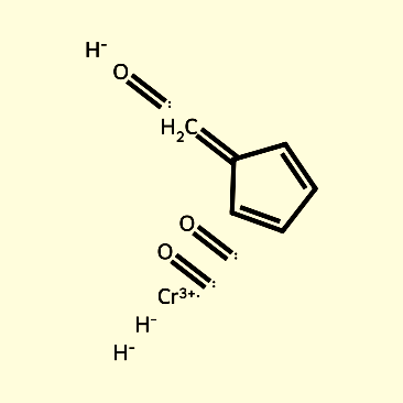 C=C1C=CC=C1.[C]=O.[C]=O.[C]=O.[Cr+3].[H-].[H-].[H-]